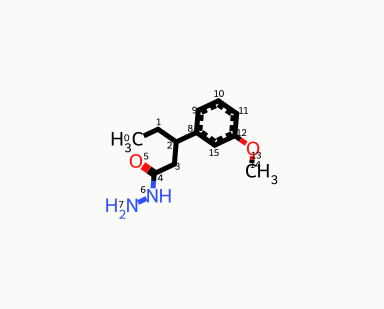 CCC(CC(=O)NN)c1cccc(OC)c1